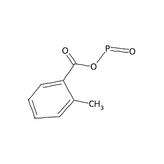 Cc1ccccc1C(=O)OP=O